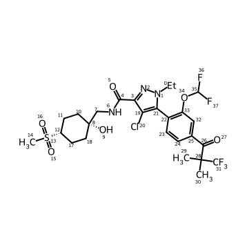 CCn1nc(C(=O)NC[C@]2(O)CC[C@@H](S(C)(=O)=O)CC2)c(Cl)c1-c1ccc(C(=O)C(C)(C)C(F)(F)F)cc1OC(F)F